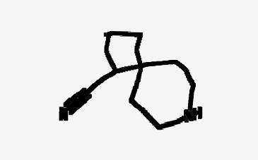 N#CC1[CH]CC12CCNCC2